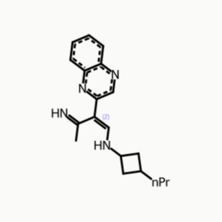 CCCC1CC(N/C=C(\C(C)=N)c2cnc3ccccc3n2)C1